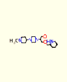 CN1CCC(N2CCN(C(C=O)COCC3CCCCN3)CC2)CC1